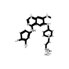 COc1cc2ncnc(Nc3ccc(F)c(Cl)c3)c2cc1OC1CCN(CCN)CC1.Cl.Cl